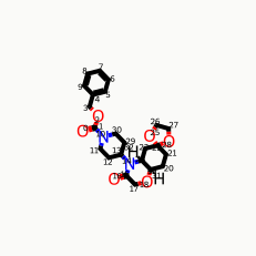 O=C(OCc1ccccc1)N1CCC(N2C(=O)CO[C@@H]3CCC4(C[C@H]32)OCCO4)CC1